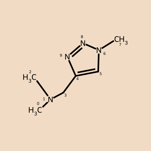 CN(C)Cc1cn(C)nn1